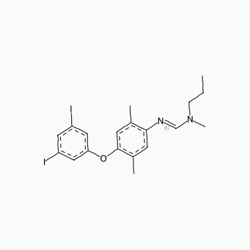 CCCN(C)/C=N/c1cc(C)c(Oc2cc(I)cc(I)c2)cc1C